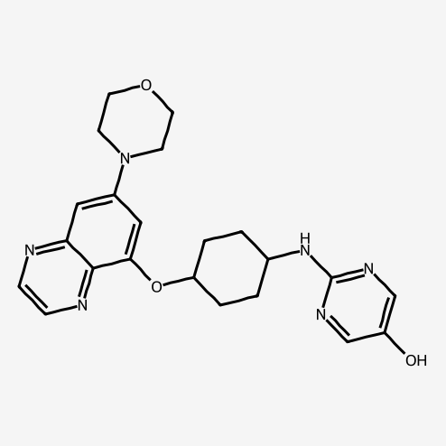 Oc1cnc(NC2CCC(Oc3cc(N4CCOCC4)cc4nccnc34)CC2)nc1